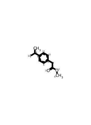 COC(=O)Cc1ccc(C(C)I)cc1